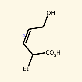 CCC(/C=C\CO)C(=O)O